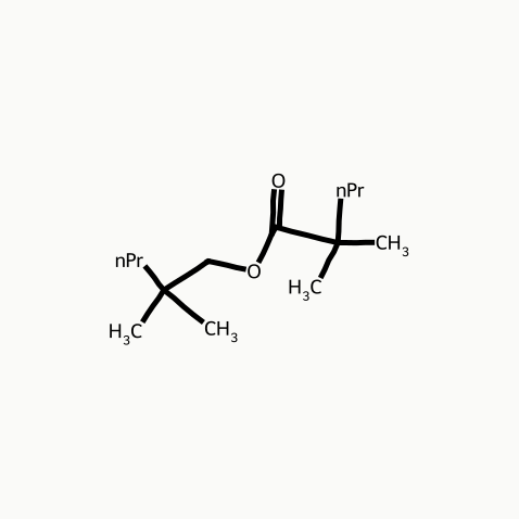 CCCC(C)(C)COC(=O)C(C)(C)CCC